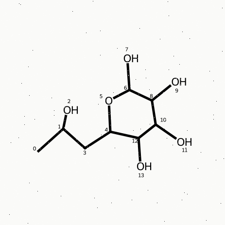 CC(O)CC1OC(O)C(O)C(O)C1O